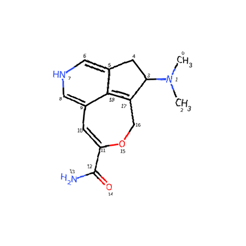 CN(C)C1CC2=CNC=C3C=C(C(N)=O)OCC1=C32